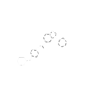 Cc1nc2ccc(C(=O)Nc3ccc(CN4CCCCC4)cc3)cc2n1-c1ccc(F)cc1